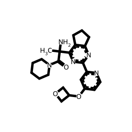 CC(N)(C(=O)N1CCCCC1)c1nc(-c2cc(OC3COC3)ccn2)nc2c1CCC2